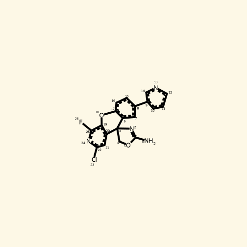 NC1=NC2(CO1)c1cc(-c3cccnc3)ccc1Oc1c2cc(Cl)nc1F